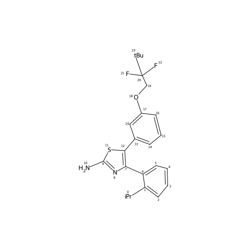 CC(C)c1ccccc1-c1nc(N)sc1-c1cccc(OCC(F)(F)C(C)(C)C)c1